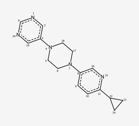 c1ncc(N2CCN(c3ccc(C4CC4)nc3)CC2)cn1